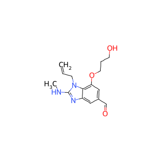 C=CCn1c(NC)nc2cc(C=O)cc(OCCCO)c21